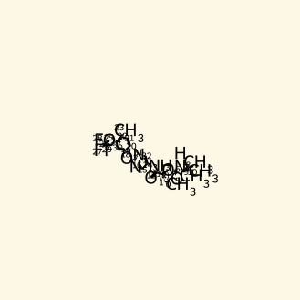 CC[C@@H](OC(=O)NC(C)(C)C)C(=O)Nc1cnc(Oc2ccc(C)c(OC(F)(F)F)c2)nc1